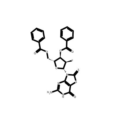 Nc1nc2c(sc(=S)n2[C@@H]2O[C@H](COC(=O)c3ccccc3)[C@@H](OC(=O)c3ccccc3)[C@H]2F)c(=O)[nH]1